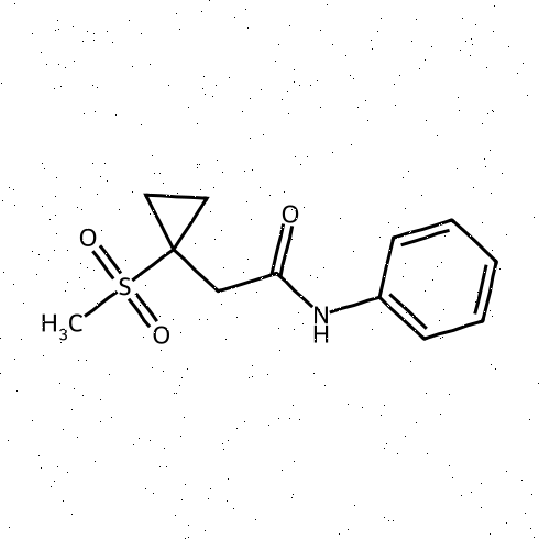 CS(=O)(=O)C1(CC(=O)Nc2ccccc2)CC1